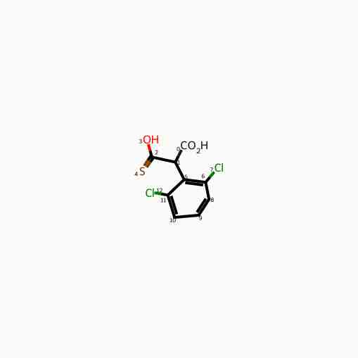 O=C(O)C(C(O)=S)c1c(Cl)cccc1Cl